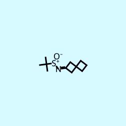 CC(C)(C)[S+]([O-])N=C1CC2(CCC2)C1